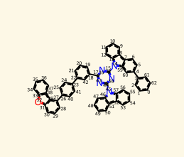 c1ccc(-c2ccc3c4ccccc4n(-c4nc(-c5cccc(-c6ccc(-c7cccc8oc9ccccc9c78)cc6)c5)nc(-n5c6ccccc6c6ccccc65)n4)c3c2)cc1